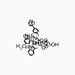 Cc1cc(C)cc(C(=O)N(C)[C@H](Cc2ccc(-c3ccno3)cc2)C(=O)N[C@@H](Cc2c[nH]c3ccccc23)C(=O)NS(=O)(=O)CCO)c1